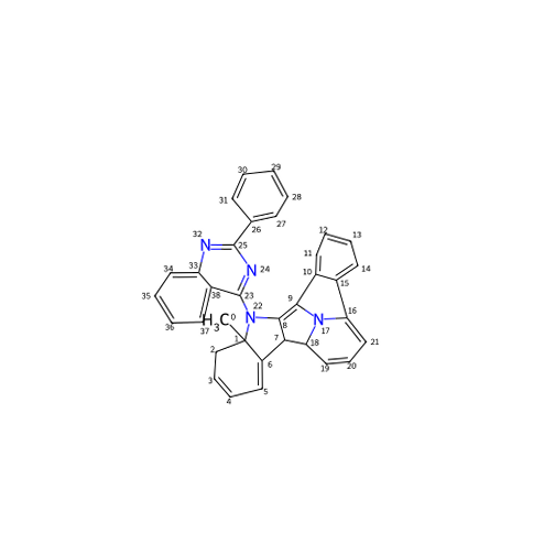 CC12CC=CC=C1C1C(=c3c4ccccc4c4n3C1C=CC=4)N2c1nc(-c2ccccc2)nc2ccccc12